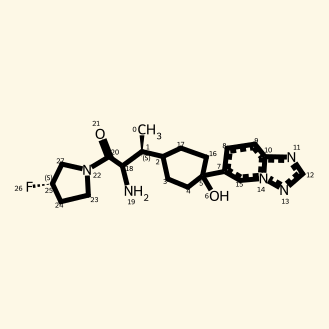 C[C@@H](C1CCC(O)(c2ccc3ncnn3c2)CC1)C(N)C(=O)N1CC[C@H](F)C1